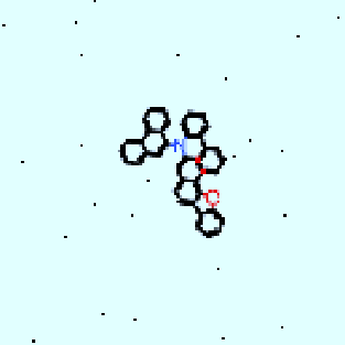 c1ccc(-c2ccccc2N(c2ccc3c(ccc4c5ccccc5oc34)c2)c2cc3ccccc3c3ccccc23)cc1